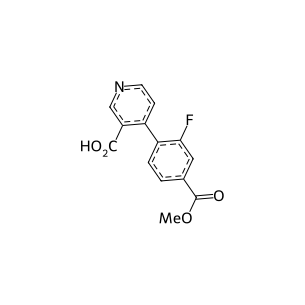 COC(=O)c1ccc(-c2ccncc2C(=O)O)c(F)c1